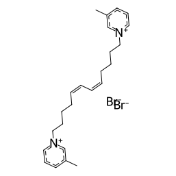 Cc1ccc[n+](CCCC/C=C\C=C/CCCC[n+]2cccc(C)c2)c1.[Br-].[Br-]